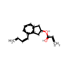 C=C/C=C\c1cccc2c1CC(OC(=O)C=C)C2